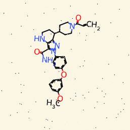 C=CC(=O)N1CCC(C2CCNc3c2nn(-c2ccc(Oc4cccc(OC)c4)cc2)c3C(N)=O)CC1